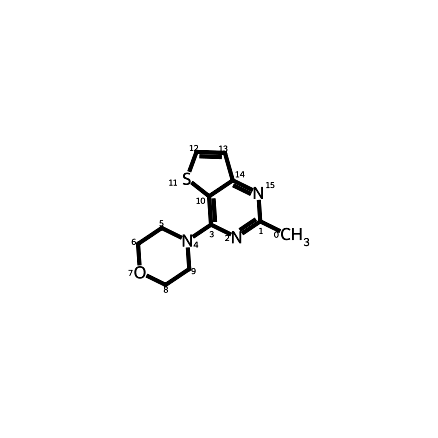 Cc1nc(N2CCOCC2)c2sccc2n1